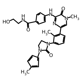 Cc1ccc(N2CCN(c3cccc(-c4cn(C)c(=O)c(Nc5ccc(C(=O)NCCO)cc5)n4)c3C)C2=O)cc1